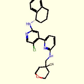 N#CC1(CNc2cccc(-c3cc(N[C@H]4CCCc5ccccc54)ncc3Cl)n2)CCOCC1